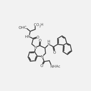 CC(=O)NCC(=O)N1CC(NC(=O)c2cccc3ccccc23)C(=O)N(CC(=O)NC(C=O)CC(=O)O)c2ccccc21